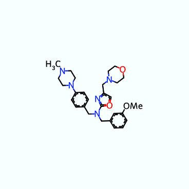 COc1cccc(CN(Cc2ccc(N3CCN(C)CC3)cc2)c2nc(CN3CCOCC3)co2)c1